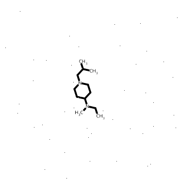 CCN(C)C1CCN(CC(C)C)CC1